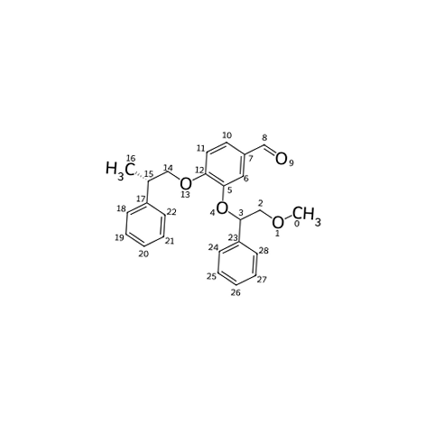 COCC(Oc1cc(C=O)ccc1OC[C@@H](C)c1ccccc1)c1ccccc1